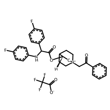 O=C(C[N+]12CCC(CC1)[C@@H](OC(=O)C(Nc1ccc(F)cc1)c1ccc(F)cc1)C2)c1ccccc1.O=C([O-])C(F)(F)F